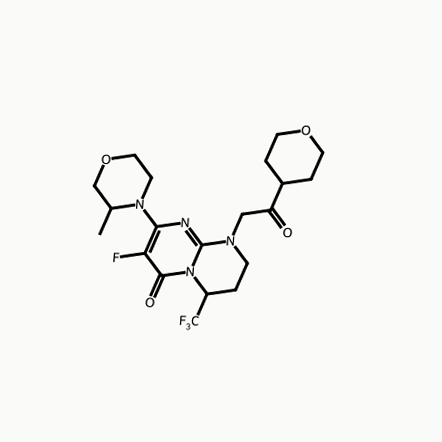 CC1COCCN1c1nc2n(c(=O)c1F)C(C(F)(F)F)CCN2CC(=O)C1CCOCC1